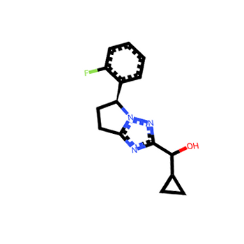 OC(c1nc2n(n1)[C@H](c1ccccc1F)CC2)C1CC1